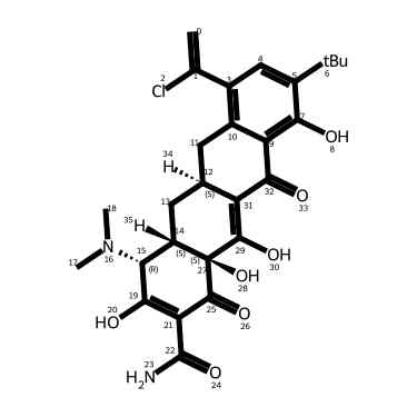 C=C(Cl)c1cc(C(C)(C)C)c(O)c2c1C[C@@H]1C[C@H]3[C@@H](N(C)C)C(O)=C(C(N)=O)C(=O)[C@@]3(O)C(O)=C1C2=O